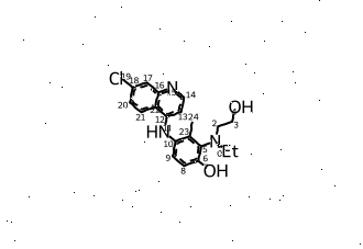 CCN(CCO)c1c(O)ccc(Nc2ccnc3cc(Cl)ccc23)c1C